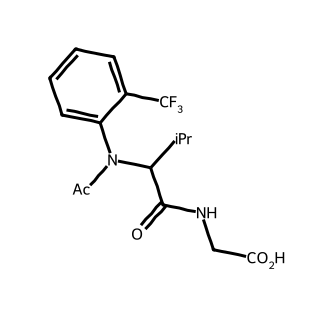 CC(=O)N(c1ccccc1C(F)(F)F)C(C(=O)NCC(=O)O)C(C)C